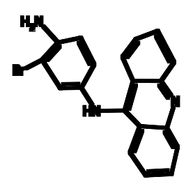 Nc1ccc(Nc2c3ccccc3nc3ccccc23)cc1Br